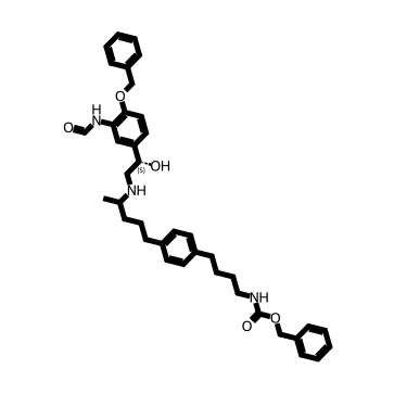 CC(CCCc1ccc(CCCCNC(=O)OCc2ccccc2)cc1)NC[C@@H](O)c1ccc(OCc2ccccc2)c(NC=O)c1